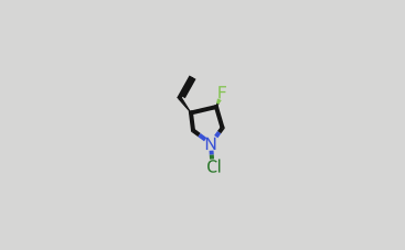 C=C[C@@H]1CN(Cl)C[C@@H]1F